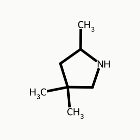 CC1CC(C)(C)CN1